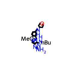 CCCCNc1nc(N)nc2cnn(Cc3cc(CNC4CCOCC4)ccc3OC)c12